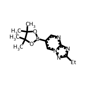 CCc1nc2ncc(B3OC(C)(C)C(C)(C)O3)cn2n1